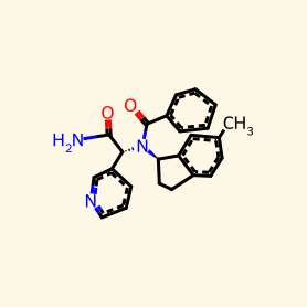 Cc1ccc2c(c1)[C@H](N(C(=O)c1ccccc1)[C@@H](C(N)=O)c1cccnc1)CC2